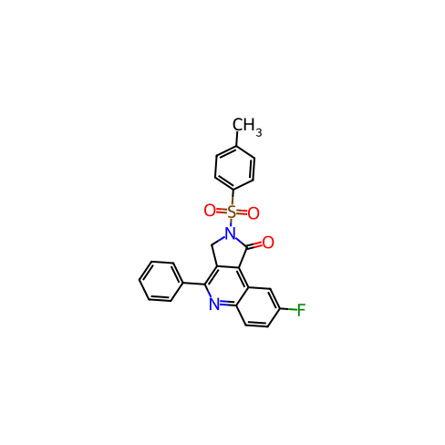 Cc1ccc(S(=O)(=O)N2Cc3c(-c4ccccc4)nc4ccc(F)cc4c3C2=O)cc1